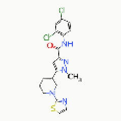 Cn1nc(C(=O)Nc2ccc(Cl)cc2Cl)cc1C1=CCCN(c2nccs2)C1